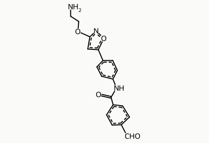 NCCOc1cc(-c2ccc(NC(=O)c3ccc(C=O)cc3)cc2)on1